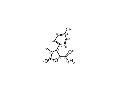 CN1C(=O)OC(C(N)=O)C1c1ccc(Cl)cc1